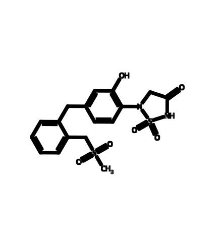 CS(=O)(=O)Cc1ccccc1Cc1ccc(N2CC(=O)NS2(=O)=O)c(O)c1